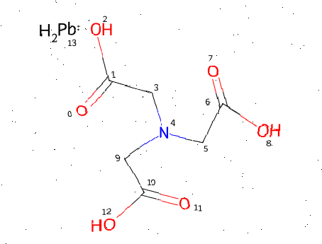 O=C(O)CN(CC(=O)O)CC(=O)O.[PbH2]